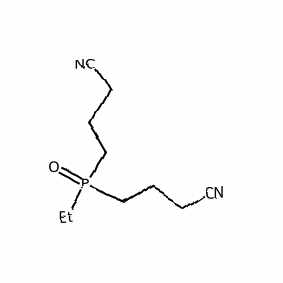 CCP(=O)(CCCC#N)CCCC#N